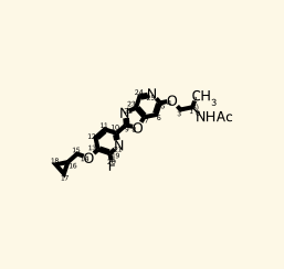 CC(=O)N[C@@H](C)COc1cc2oc(-c3ccc(OCC4CC4)c(F)n3)nc2cn1